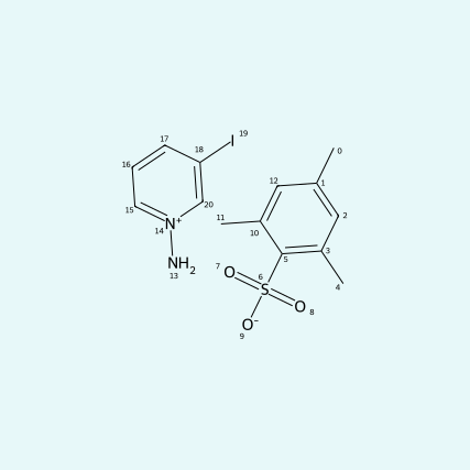 Cc1cc(C)c(S(=O)(=O)[O-])c(C)c1.N[n+]1cccc(I)c1